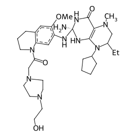 CCC1CN(C)C2=C(N[C@@](N)(Nc3cc4c(cc3OC)CCCN4C(=O)CN3CCN(CCO)CC3)NC2=O)N1C1CCCC1